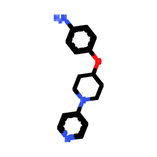 Nc1ccc(OC2CCN(c3ccncc3)CC2)cc1